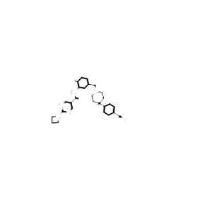 Cc1ccc(C(=O)N2CCC(F)(c3ccc(C#N)cc3)CC2)cc1NC(=O)c1cnc(N2CCC2)nc1